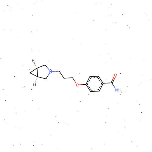 NC(=O)c1ccc(OCCCN2C[C@H]3C[C@H]3C2)cc1